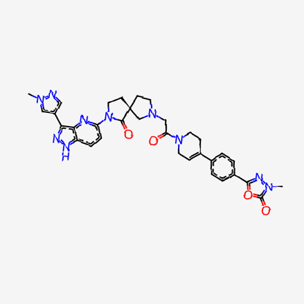 Cn1cc(-c2n[nH]c3ccc(N4CC[C@]5(CCN(CC(=O)N6CC=C(c7ccc(-c8nn(C)c(=O)o8)cc7)CC6)C5)C4=O)nc23)cn1